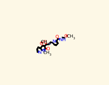 COCCNC(=O)c1cccc(/C=C/C(=O)c2c(OC)c3cccnc3n(C)c2=O)n1